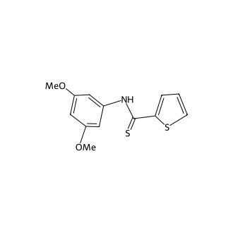 COc1cc(NC(=S)c2cccs2)cc(OC)c1